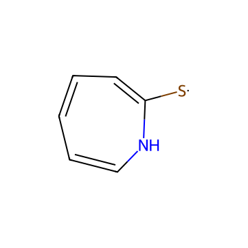 [S]C1=CC=CC=CN1